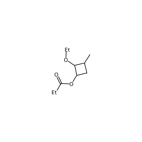 CCOC1C(C)CC1OC(=O)CC